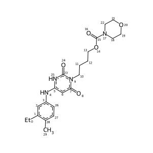 CCc1cc(Nc2cc(=O)n(CCCCOC(=O)N3CCOCC3)c(=O)[nH]2)ccc1C